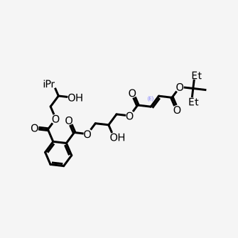 CCC(C)(CC)OC(=O)/C=C/C(=O)OCC(O)COC(=O)c1ccccc1C(=O)OCC(O)C(C)C